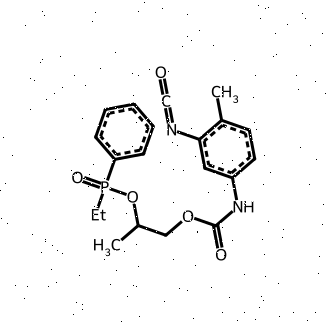 CCP(=O)(OC(C)COC(=O)Nc1ccc(C)c(N=C=O)c1)c1ccccc1